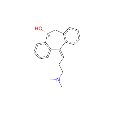 CN(C)CCC=C1c2ccccc2C[C@@H](O)c2ccccc21